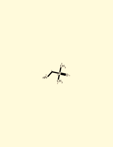 CCCCP(C)(C)=O